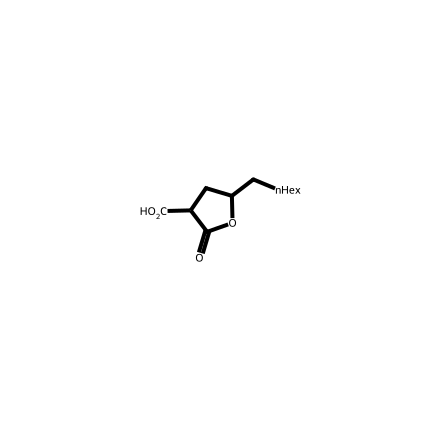 CCCCCCCC1CC(C(=O)O)C(=O)O1